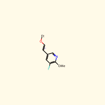 CCO/C=C/c1cnc(OC)c(F)c1